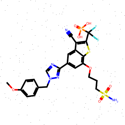 COc1ccc(Cn2cnc(-c3cc(OCCCS(N)(=O)=O)c4sc(C(F)(F)P(=O)(O)O)c(C#N)c4c3)n2)cc1